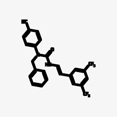 N#Cc1ccc(N(Cc2ccccc2)C(=O)N/C=C/c2cc(C(F)(F)F)cc(C(F)(F)F)c2)cc1